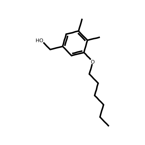 CCCCCCOc1cc(CO)cc(C)c1C